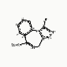 CSC1=NCc2nnc(C(C)C)n2-c2ccccc21